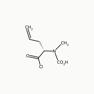 C=CC[C@@H](C(=O)Cl)N(C)C(=O)O